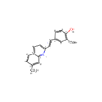 COc1cc(/C=C/c2ccc3ccc(C(=O)O)cc3n2)ccc1O